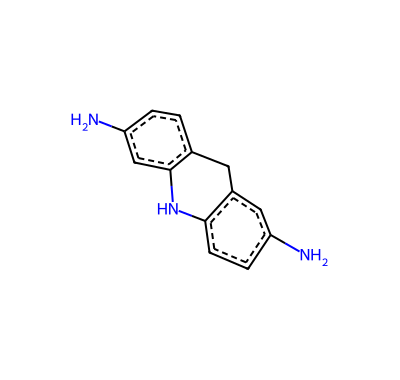 Nc1ccc2c(c1)Cc1ccc(N)cc1N2